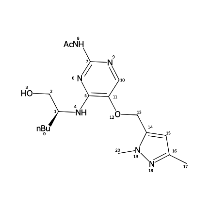 CCCC[C@@H](CO)Nc1nc(NC(C)=O)ncc1OCc1cc(C)nn1C